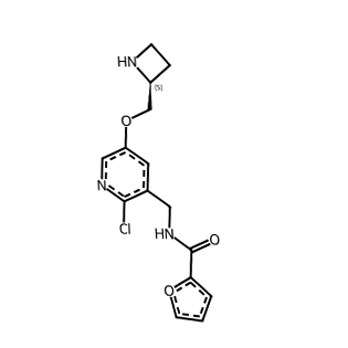 O=C(NCc1cc(OC[C@@H]2CCN2)cnc1Cl)c1ccco1